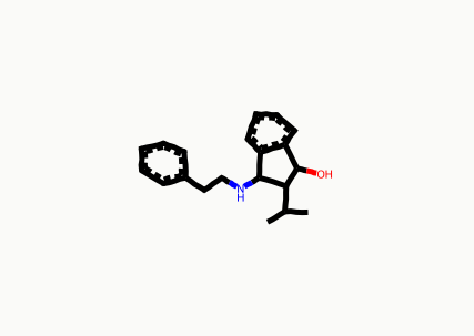 CC(C)C1C(O)c2ccccc2C1NCCc1ccccc1